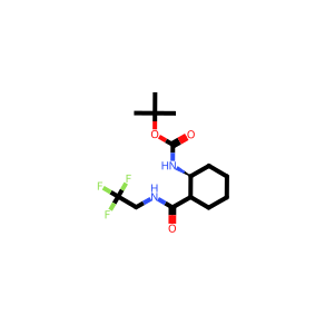 CC(C)(C)OC(=O)N[C@H]1CCCCC1C(=O)NCC(F)(F)F